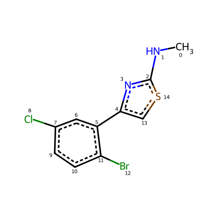 CNc1nc(-c2cc(Cl)ccc2Br)cs1